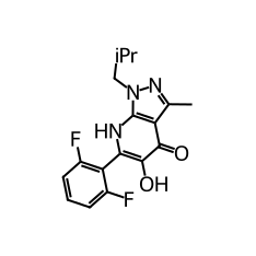 Cc1nn(CC(C)C)c2[nH]c(-c3c(F)cccc3F)c(O)c(=O)c12